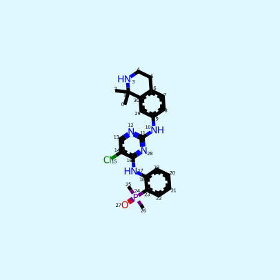 CC1(C)NCCc2ccc(Nc3ncc(Cl)c(Nc4ccccc4P(C)(C)=O)n3)cc21